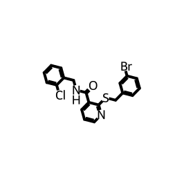 O=C(NCc1ccccc1Cl)c1cccnc1SCc1cccc(Br)c1